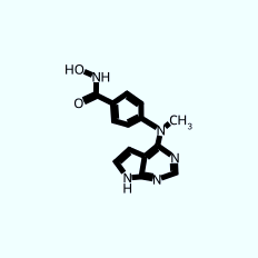 CN(c1ccc(C(=O)NO)cc1)c1ncnc2[nH]ccc12